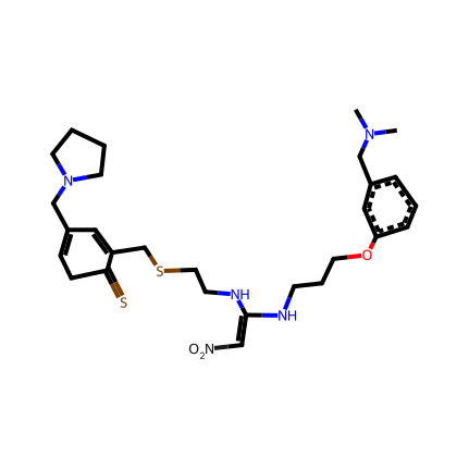 CN(C)Cc1cccc(OCCCNC(=C[N+](=O)[O-])NCCSCC2=CC(CN3CCCC3)=CCC2=S)c1